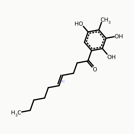 CCCCC/C=C/CCC(=O)c1cc(O)c(C)c(O)c1O